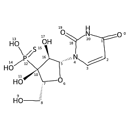 O=c1ccn([C@@H]2O[C@H](CO)[C@](O)(P(O)(O)=S)[C@H]2O)c(=O)[nH]1